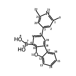 Cc1cc(-c2cc(B(O)O)c3oc4ccccc4c3c2)cc(C)n1